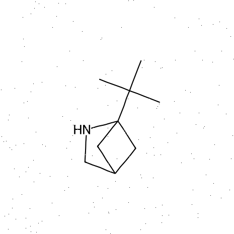 CC(C)(C)C12CC(CN1)C2